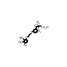 CCCc1c(OCCCSc2cccc(C(=O)C(C)(C)CC(=O)O)c2)ccc(C(C)=O)c1O